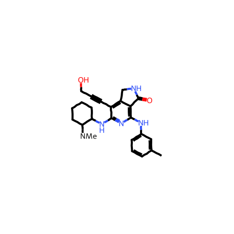 CNC1CCCCC1Nc1nc(Nc2cccc(C)c2)c2c(c1C#CCO)CNC2=O